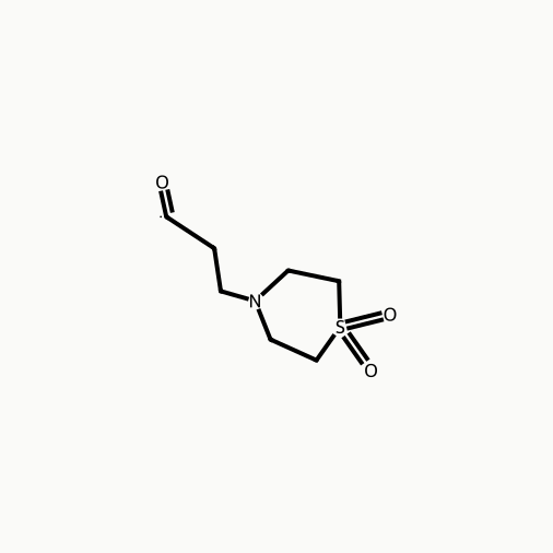 O=[C]CCN1CCS(=O)(=O)CC1